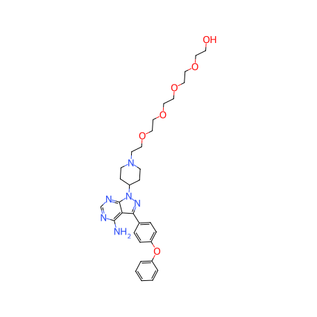 Nc1ncnc2c1c(-c1ccc(Oc3ccccc3)cc1)nn2C1CCN(CCOCCOCCOCCOCCO)CC1